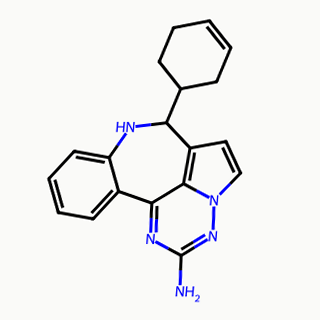 Nc1nc2c3c(ccn3n1)C(C1CC=CCC1)Nc1ccccc1-2